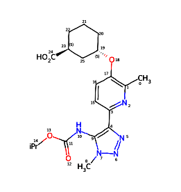 Cc1nc(-c2nnn(C)c2NC(=O)OC(C)C)ccc1O[C@H]1CCC[C@H](C(=O)O)C1